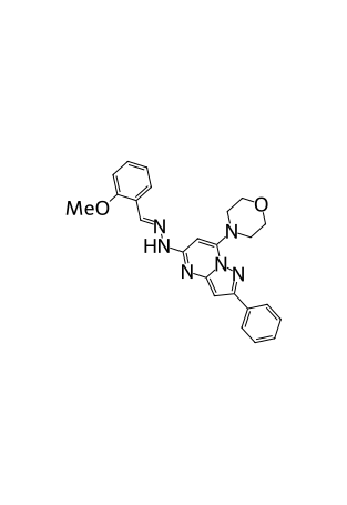 COc1ccccc1C=NNc1cc(N2CCOCC2)n2nc(-c3ccccc3)cc2n1